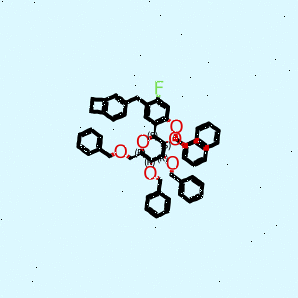 Fc1cc(OCc2ccccc2)c([C@@H]2O[C@H](COCc3ccccc3)[C@@H](OCc3ccccc3)[C@H](OCc3ccccc3)[C@H]2OCc2ccccc2)cc1Cc1ccc2c(c1)CC2